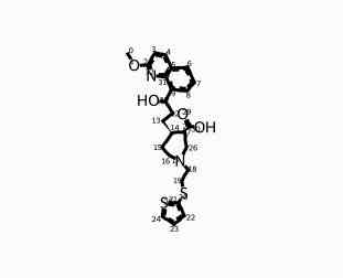 COc1ccc2cccc(C(O)CC[C@@H]3CCN(CCSc4cccs4)C[C@@H]3C(=O)O)c2n1